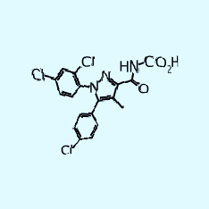 Cc1c(C(=O)NC(=O)O)nn(-c2ccc(Cl)cc2Cl)c1-c1ccc(Cl)cc1